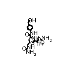 CC(C)[C@H](OC(N)=O)C(=O)N[C@@H](CCCNC(N)=O)C(=O)Nc1ccc(CO)cc1